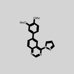 COc1ccc(-c2ccc3ncnc(-n4cccn4)c3c2)cc1OC